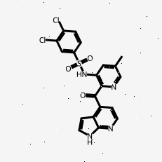 Cc1cnc(C(=O)c2ccnc3[nH]ccc23)c(NS(=O)(=O)c2ccc(Cl)c(Cl)c2)c1